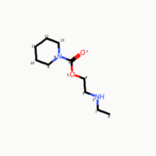 CCNCCOC(=O)N1CCCCC1